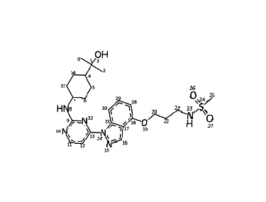 CC(C)(O)C1CCC(Nc2nccc(-n3ncc4c(OCCCNS(C)(=O)=O)cccc43)n2)CC1